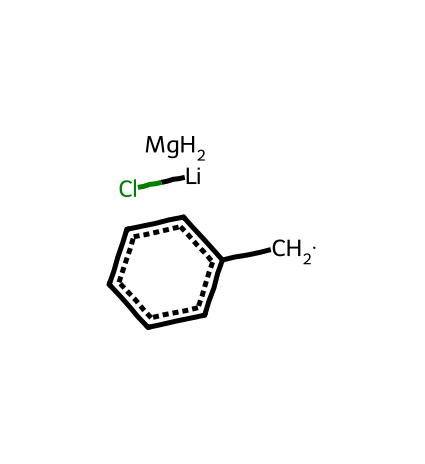 [CH2]c1ccccc1.[Li][Cl].[MgH2]